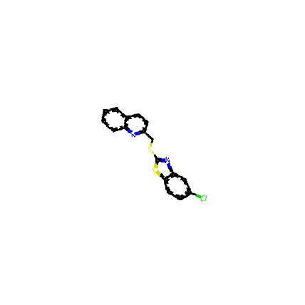 Clc1ccc2sc(SCc3ccc4ccccc4n3)nc2c1